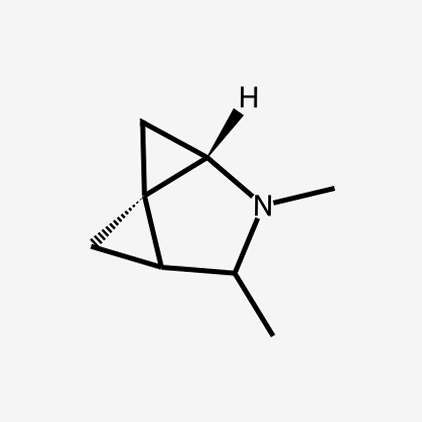 CC1C2C[C@@]23C[C@@H]3N1C